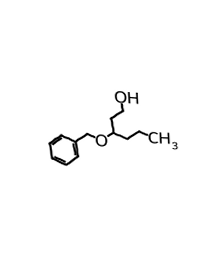 CCCC(CCO)OCc1ccccc1